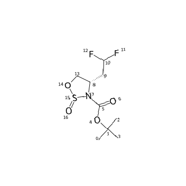 CC(C)(C)OC(=O)N1[C@@H](CC(F)F)COS1=O